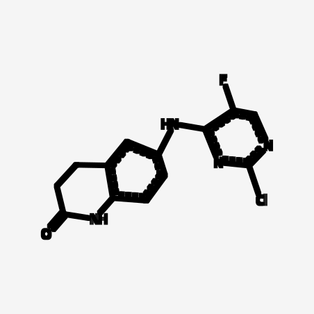 O=C1CCc2cc(Nc3nc(Cl)ncc3F)ccc2N1